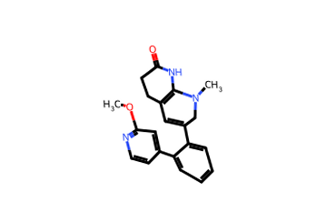 COc1cc(-c2ccccc2C2=CC3=C(NC(=O)CC3)N(C)C2)ccn1